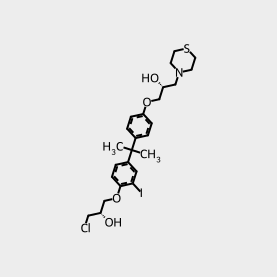 CC(C)(c1ccc(OC[C@H](O)CN2CCSCC2)cc1)c1ccc(OC[C@H](O)CCl)c(I)c1